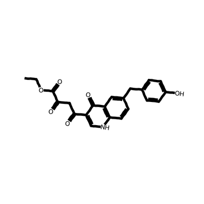 CCOC(=O)C(=O)CC(=O)c1c[nH]c2ccc(Cc3ccc(O)cc3)cc2c1=O